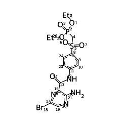 CCOP(=O)(CS(=O)(=O)c1ccc(NC(=O)c2nc(Br)cnc2N)cc1)OCC